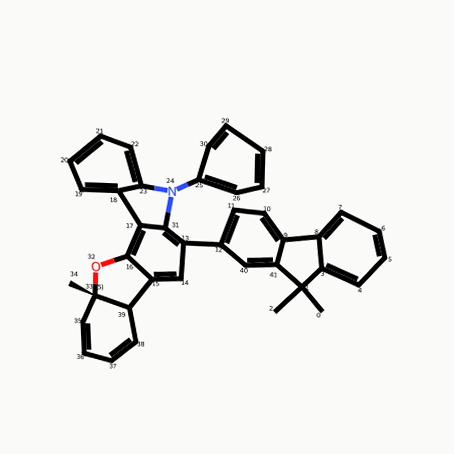 CC1(C)c2ccccc2-c2ccc(-c3cc4c(c5c6ccccc6n(-c6ccccc6)c35)O[C@@]3(C)C=CC=CC43)cc21